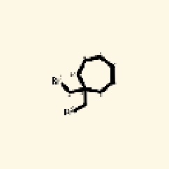 BrCC1(CBr)CCCCCC1